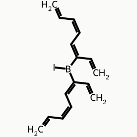 C=C/C=C\C=C(/C=C)B(I)/C(C=C)=C/C=C\C=C